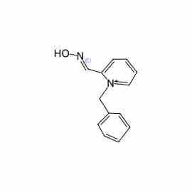 O/N=C/c1cccc[n+]1Cc1ccccc1